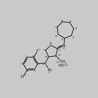 CC(=O)N(c1cc(Cl)ccc1F)C1CSC(=NC2CCCCCC2)N1C.Cl